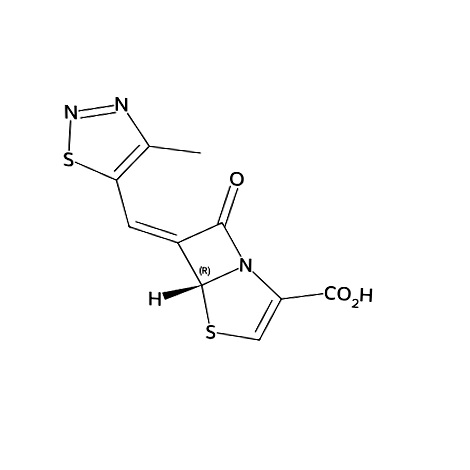 Cc1nnsc1C=C1C(=O)N2C(C(=O)O)=CS[C@H]12